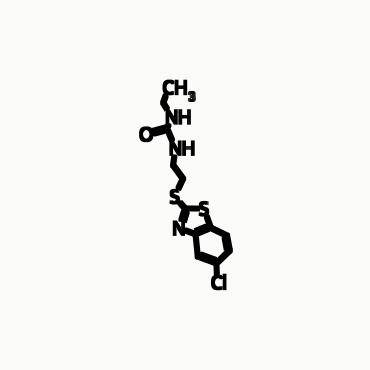 CCNC(=O)NCCSc1nc2cc(Cl)ccc2s1